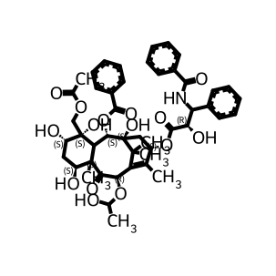 CC(=O)OC[C@@]1(O)C2[C@H](OC(=O)c3ccccc3)[C@]3(O)C[C@H](OC(=O)[C@H](O)C(NC(=O)c4ccccc4)c4ccccc4)C(C)=C([C@@H](OC(C)O)C(=O)[C@]2(C)[C@@H](O)C[C@@H]1O)C3(C)C